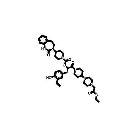 C=Cc1cc(C[C@@H](OC(=O)N2CCC(N3CCc4ccccc4NC3=O)CC2)C(=O)N2CCC(N3CCN(CC(=O)OCC)CC3)CC2)ccc1O